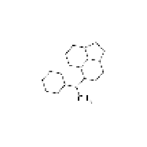 CC(C1CCCCC1)C1CCC2CCC3CCCC1C32